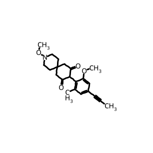 CC#Cc1cc(C)c(C2C(=O)CC3(CCN(OC)CC3)CC2=O)c(OC)c1